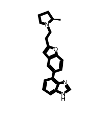 C[C@@H]1CCCN1CCc1cc2cc(-c3cccc4[nH]cnc34)ccc2o1